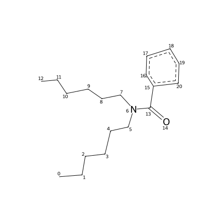 CCCCCCN(CCCCCC)C(=O)c1[c]cccc1